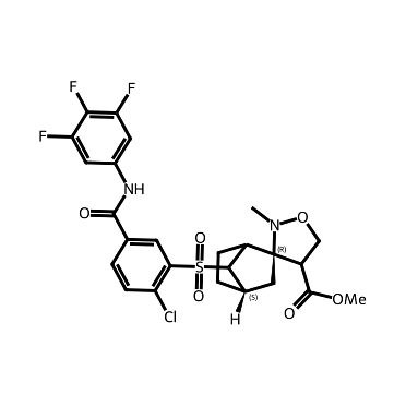 COC(=O)C1CON(C)[C@]12C[C@@H]1CCC2C1S(=O)(=O)c1cc(C(=O)Nc2cc(F)c(F)c(F)c2)ccc1Cl